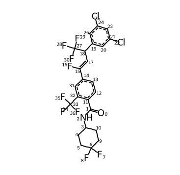 O=C(NC1CCC(F)(F)CC1)c1ccc(C(F)=CC(c2cc(Cl)cc(Cl)c2)C(F)(F)F)cc1C(F)(F)F